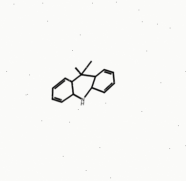 CC1(C)C2C=CC=CC2NC2C=CC=CC21